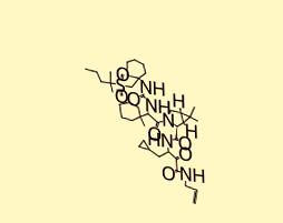 C=CCNC(=O)C(=O)C(CC1CC1)NC(=O)[C@@H]1[C@@H]2[C@H](CN1C(=O)[C@@H](NC(=O)NC1(CS(=O)(=O)C(C)(C)CCC)CCCCC1)C1(C)CCCCC1)C2(C)C